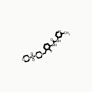 Cc1cc(NC(=O)Nc2cccc(CN3CCN(S(=O)(=O)N4CCOCC4)CC3)c2F)ccn1